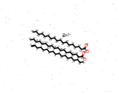 C=CCCCCCCCCCCCCCCCC.CCCCCCCCCCCCCCCCCC(=O)[O-].CCCCCCCCCCCCCCCCCC(=O)[O-].[Zn+2]